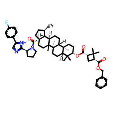 CC(C)[C@@H]1CC[C@]2(C(=O)N3CCC[C@H]3c3ncc(-c4ccc(F)cc4)[nH]3)CC[C@]3(C)[C@H](CC[C@@H]4[C@@]5(C)CC[C@H](OC(=O)[C@H]6C[C@@H](C(=O)OCc7ccccc7)C6(C)C)C(C)(C)[C@@H]5CC[C@]43C)[C@@H]12